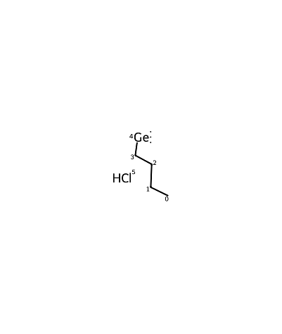 CCC[CH2][Ge].Cl